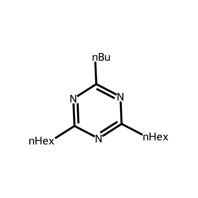 [CH2]CCCc1nc(CCCCCC)nc(CCCCCC)n1